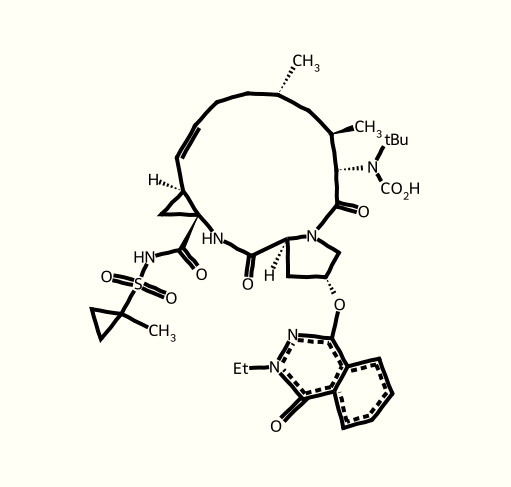 CCn1nc(O[C@@H]2C[C@H]3C(=O)N[C@]4(C(=O)NS(=O)(=O)C5(C)CC5)C[C@H]4C=CCC[C@H](C)C[C@@H](C)[C@H](N(C(=O)O)C(C)(C)C)C(=O)N3C2)c2ccccc2c1=O